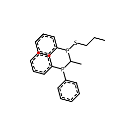 CCCSP(c1ccccc1)C(C)P(c1ccccc1)c1ccccc1